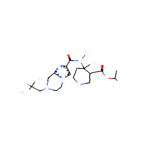 CN(C(=O)c1cn2c(n1)CN(CC(C)(C)O)CC2)C1(C)CCNCC1C(=O)OC(C(F)(F)F)C(F)(F)F